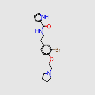 O=C(NCCc1ccc(OCCN2CCCC2)c(Br)c1)c1ccc[nH]1